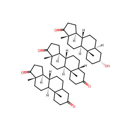 C[C@]12CCC(=O)CC1CC[C@@H]1[C@@H]2CC[C@]2(C)C(=O)CC[C@@H]12.C[C@]12CCC(=O)C[C@H]1CC[C@@H]1[C@@H]2CC[C@]2(C)C(=O)CC[C@@H]12.C[C@]12CC[C@@H](O)C[C@@H]1CC[C@@H]1[C@@H]2CC[C@]2(C)C(=O)CC[C@@H]12